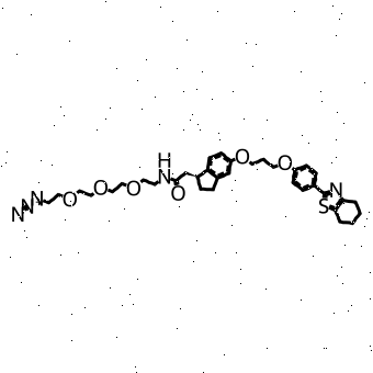 [N-]=[N+]=NCCOCCOCCOCCNC(=O)C[C@@H]1CCc2cc(OCCCOc3ccc(-c4nc5c(s4)CCCC5)cc3)ccc21